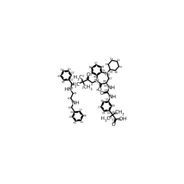 CC(C)(C)C(=O)CN1C(=O)[C@H](NC(=O)Nc2cccc(C(C)(C)C(=O)O)c2)CN(C2CCCCC2)c2ccccc21.c1ccc(CNCCNCc2ccccc2)cc1